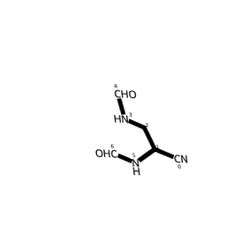 N#CC(CNC=O)NC=O